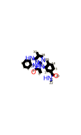 C=CC(=O)N[C@@H]1CCCC[C@H]1Nc1nc(Nc2cc(C(=O)NC)ccc2C)ncc1C